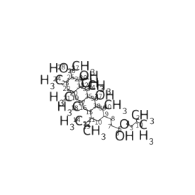 CC(C)COC(O)CCC1CC(C(C)C)C2CC3(C)CC4(C)CC(C)C(C(C)O)C(O)C4(C)C(C)C3C(O)C2C1C